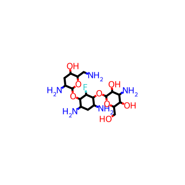 NCC1OC(OC2C(N)CC(N)C(OC3OC(CO)C(O)C(N)C3O)C2F)C(N)CC1O